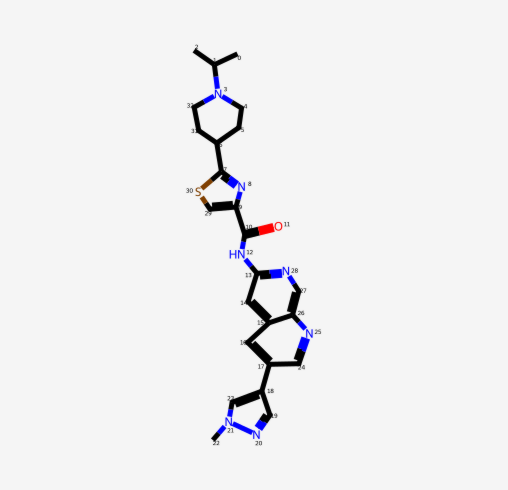 CC(C)N1CCC(c2nc(C(=O)Nc3cc4cc(-c5cnn(C)c5)cnc4cn3)cs2)CC1